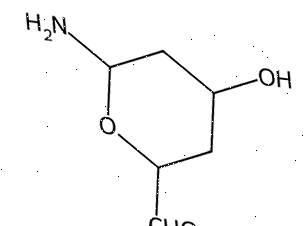 NC1CC(O)CC(C=O)O1